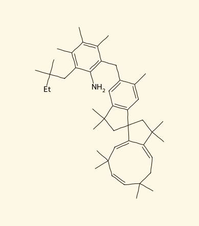 CCC(C)(C)Cc1c(C)c(C)c(C)c(Cc2cc3c(cc2C)C2(CC(C)(C)C4=C/CC(C)(C)C=CC(C)(C)/C=C\42)CC3(C)C)c1N